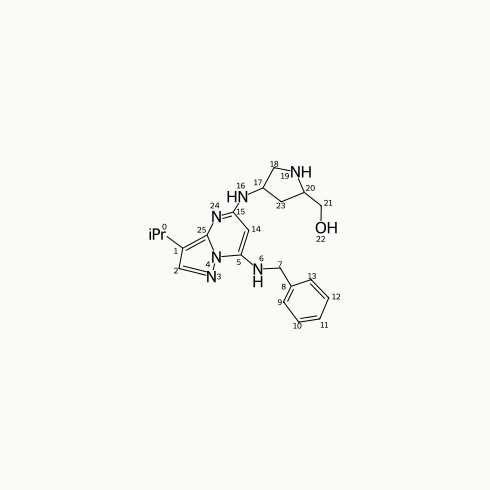 CC(C)c1cnn2c(NCc3ccccc3)cc(NC3CNC(CO)C3)nc12